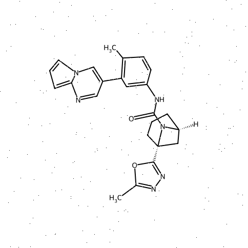 Cc1nnc([C@@]23CCC[C@@H](C2)N3C(=O)Nc2ccc(C)c(-c3cnc4cccn4c3)c2)o1